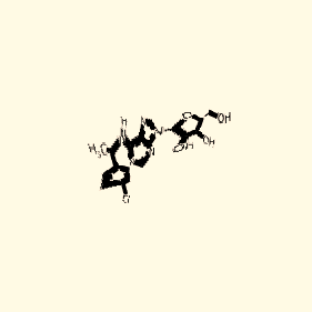 C[C@@H](Nc1ncnc2c1ncn2[C@@H]1O[C@H](CO)C(O)C1O)c1ccc(Cl)cc1